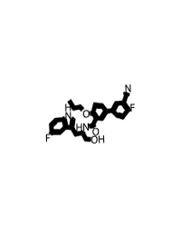 CCCOc1ccc(-c2ccc(F)c(C#N)c2)cc1C(=O)NC(CO)Cc1c[nH]c2ccc(F)cc12